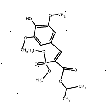 COc1cc(C=C(C(=O)OC(C)C)P(=O)(OC)OC)cc(OC)c1O